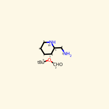 CC(C)(C)OC=O.NCC1CCCCN1